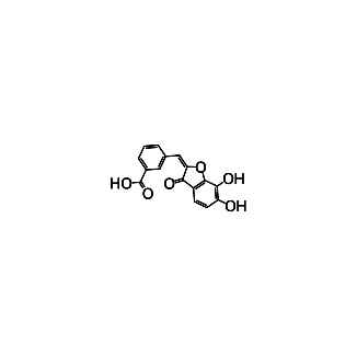 O=C(O)c1cccc(/C=C2/Oc3c(ccc(O)c3O)C2=O)c1